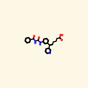 O=C(O)CCCC=C(c1cccnc1)c1cccc(NC(=O)NC(=O)c2ccccc2)c1